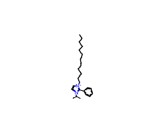 CCCCCCCCCCCC[n+]1ccn(C(C)C)c1-c1ccccc1